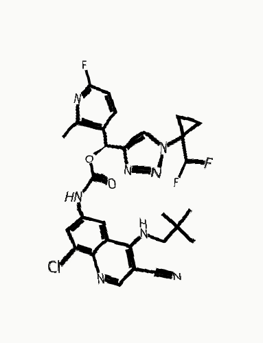 Cc1nc(F)ccc1[C@H](OC(=O)Nc1cc(Cl)c2ncc(C#N)c(NCC(C)(C)C)c2c1)c1cn(C2(C(F)F)CC2)nn1